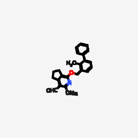 COc1nc(OCc2cccc(-c3ccccc3)c2C)c2c(c1C=O)CCC2